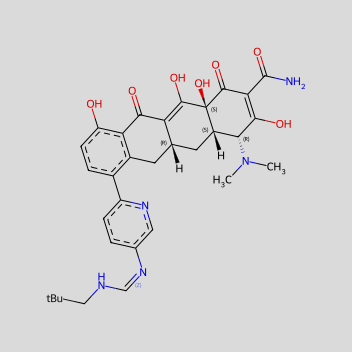 CN(C)[C@H]1C(O)=C(C(N)=O)C(=O)[C@@]2(O)C(O)=C3C(=O)c4c(O)ccc(-c5ccc(/N=C\NCC(C)(C)C)cn5)c4C[C@H]3C[C@@H]12